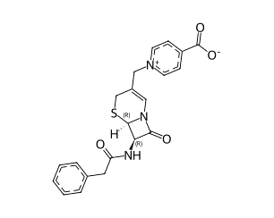 O=C(Cc1ccccc1)N[C@@H]1C(=O)N2C=C(C[n+]3ccc(C(=O)[O-])cc3)CS[C@H]12